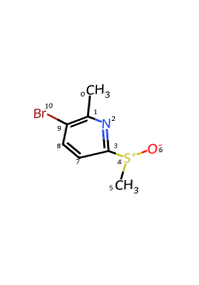 Cc1nc([S+](C)[O-])ccc1Br